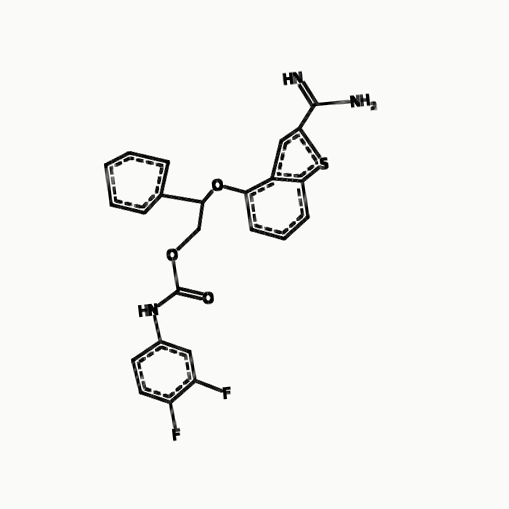 N=C(N)c1cc2c(OC(COC(=O)Nc3ccc(F)c(F)c3)c3ccccc3)cccc2s1